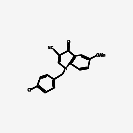 COc1ccc2c(c1)c(=O)c(C#N)cn2Cc1ccc(Cl)cc1